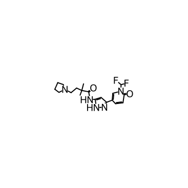 CC(C)(CCN1CCCC1)C(=O)Nc1cc(-c2ccc(=O)n(C(F)F)c2)n[nH]1